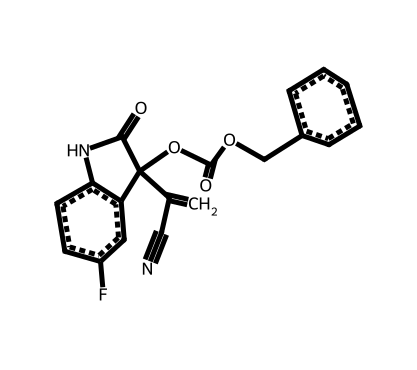 C=C(C#N)C1(OC(=O)OCc2ccccc2)C(=O)Nc2ccc(F)cc21